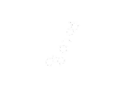 C=C(Oc1ccc(-c2cccc3c2oc2ccccc23)cc1C)c1ccc2ncccc2c1